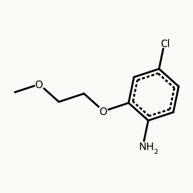 COCCOc1cc(Cl)ccc1N